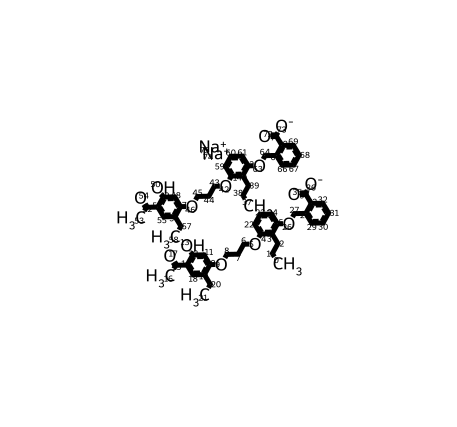 CCCc1c(OCCCOc2cc(O)c(C(C)=O)cc2CC)cccc1OCc1ccccc1C(=O)[O-].CCCc1c(OCCCOc2cc(O)c(C(C)=O)cc2CC)cccc1OCc1ccccc1C(=O)[O-].[Na+].[Na+]